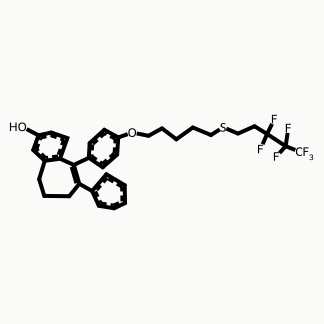 Oc1ccc2c(c1)CCCC(c1ccccc1)=C2c1ccc(OCCCCCSCCC(F)(F)C(F)(F)C(F)(F)F)cc1